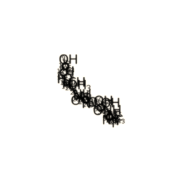 C[C@]12CC[C@@H]3c4ccc(O)cc4CC[C@H]3[C@@H]1CC[C@@]2(O)CCCNC(=O)c1cnc(OC[C@H]2OC[C@H](Nc3cncc(C(F)(F)F)n3)[C@@H](O)[C@H]2O)cn1